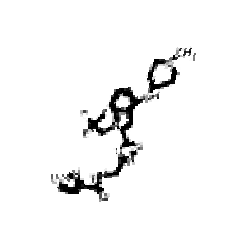 CN1CCC(Nc2cccc3c2cc(-c2nnc(CNC(=O)c4cc[nH]n4)o2)n3CC(F)(F)F)CC1